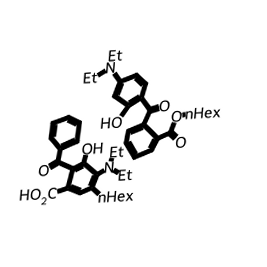 CCCCCCOC(=O)c1ccccc1C(=O)c1ccc(N(CC)CC)cc1O.CCCCCCc1cc(C(=O)O)c(C(=O)c2ccccc2)c(O)c1N(CC)CC